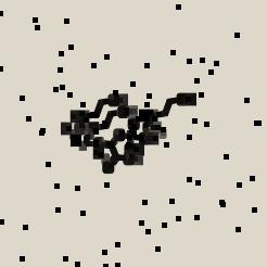 C=C(OP(=O)(O)O)C(=O)O.CNCCO.CNCCO.CNCCO